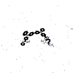 C/C=C\C=C/c1nc(-c2ccc(N(c3ccccc3)c3ccc(-c4ccc(N(c5ccccc5)c5ccc(/C(S)=N/C6C=CC=CC6)cc5)cc4)cc3)cc2)sc1C